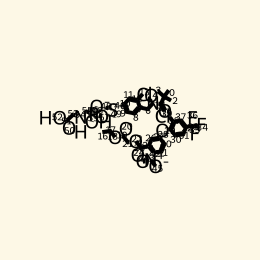 CC1(C)CON(Cc2ccccc2Cl)C1=O.CCOC(=O)COC(=O)c1cc(Oc2ccc(C(F)(F)F)cc2Cl)ccc1[N+](=O)[O-].C[S+](C)C.O=C(O)CNCP(=O)([O-])O